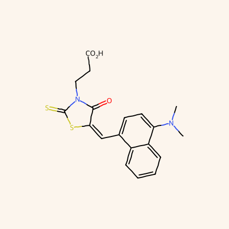 CN(C)c1ccc(C=C2SC(=S)N(CCC(=O)O)C2=O)c2ccccc12